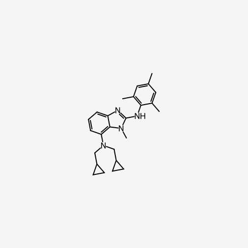 Cc1cc(C)c(Nc2nc3cccc(N(CC4CC4)CC4CC4)c3n2C)c(C)c1